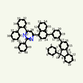 CC1(c2ccccc2)c2ccccc2-c2ccc(-c3cccc(-c4ccc(-c5cc(-c6ccccc6-c6ccccc6)nc(-c6ccccc6)n5)c5ccccc45)c3)cc21